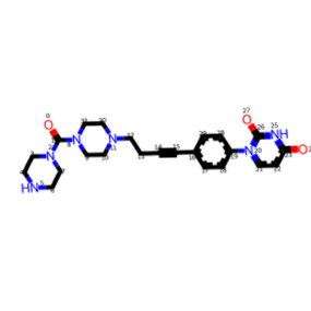 O=C(N1CCNCC1)N1CCN(CCC#Cc2ccc(-n3ccc(=O)[nH]c3=O)cc2)CC1